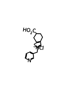 Cl.O=C(O)C1CCc2cc(Cc3cccnc3)sc2C1